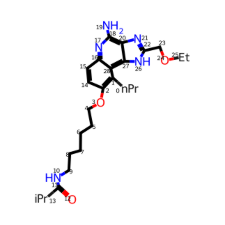 CCCc1c(OCCCCCCNC(=O)C(C)C)ccc2nc(N)c3nc(COCC)[nH]c3c12